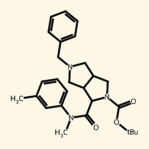 Cc1cccc(N(C)C(=O)C2C3CN(Cc4ccccc4)CC3CN2C(=O)OC(C)(C)C)c1